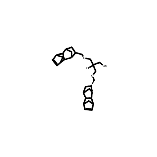 CCC(CO)(COCC1CC2CC1C1C3C=CC(C3)C21)COC[C@@H]1CC2CC1C1C3C=CC(C3)C21